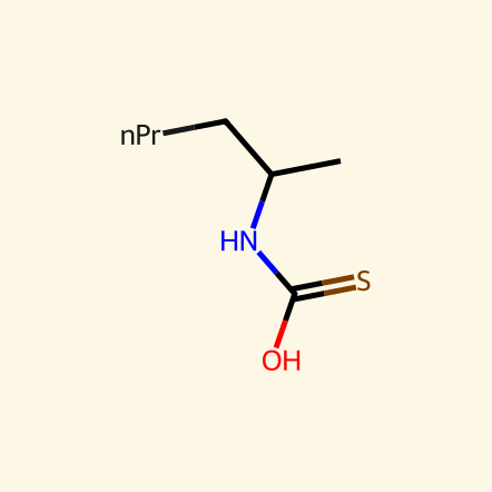 CCCCC(C)NC(O)=S